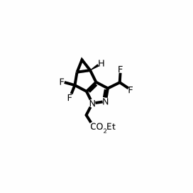 CCOC(=O)Cn1nc(C(F)F)c2c1C(F)(F)C1C[C@H]21